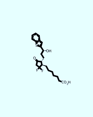 O=C(O)CCCCCC[C@@H]1[C@@H](CC[C@@H](O)c2cc3ccccc3s2)C(=O)CC1(F)F